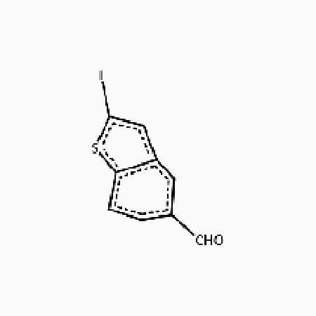 O=Cc1ccc2sc(I)cc2c1